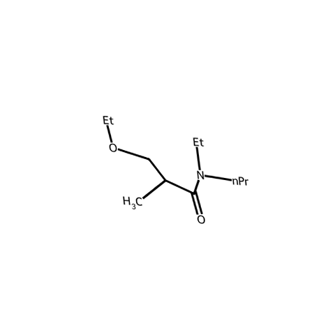 CCCN(CC)C(=O)C(C)COCC